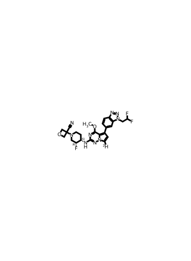 [2H]c1cc(-c2ccc3nnn(CC(F)F)c3c2)c2c(OC)nc(N[C@H]3CCN(C4(C#N)COC4)C[C@H]3F)nn12